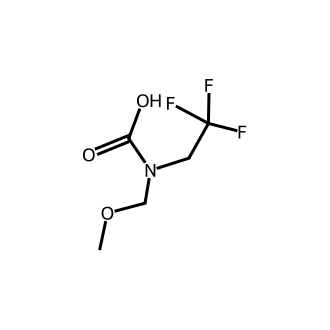 COCN(CC(F)(F)F)C(=O)O